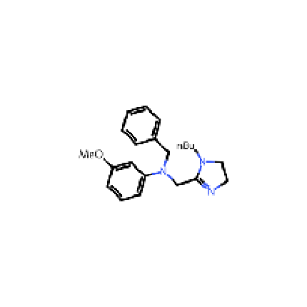 CCCCN1CCN=C1CN(Cc1ccccc1)c1cccc(OC)c1